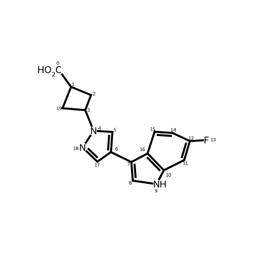 O=C(O)C1CC(n2cc(-c3c[nH]c4cc(F)ccc34)cn2)C1